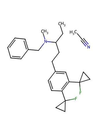 CC#N.CCC(CCc1ccc(C2(F)CC2)c(C2(F)CC2)c1)N(C)Cc1ccccc1